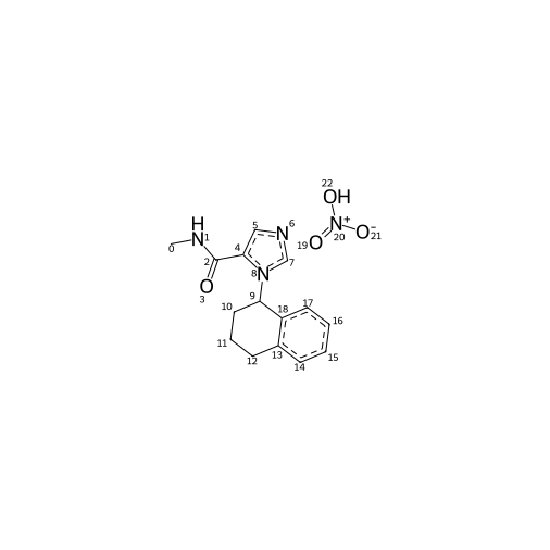 CNC(=O)c1cncn1C1CCCc2ccccc21.O=[N+]([O-])O